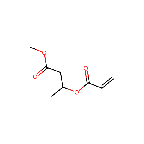 C=CC(=O)OC(C)CC(=O)OC